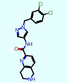 O=C(Nc1cnn(Cc2ccc(Cl)c(Cl)c2)c1)c1ccc2c(n1)CCNC2